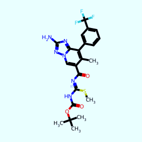 CS/C(=N\C(=O)c1cn2nc(N)nc2c(-c2cccc(C(F)(F)F)c2)c1C)NC(=O)OC(C)(C)C